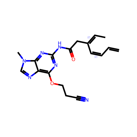 C=C/C=C\C(=C/C)CC(=O)Nc1nc(OCCC#N)c2ncn(C)c2n1